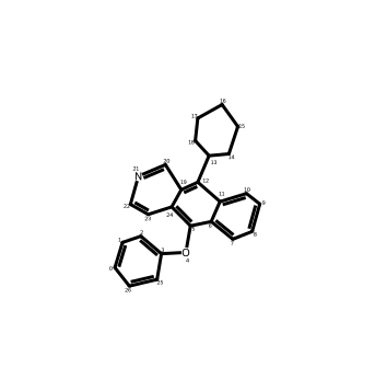 c1ccc(Oc2c3ccccc3c(C3CCCCC3)c3cnccc23)cc1